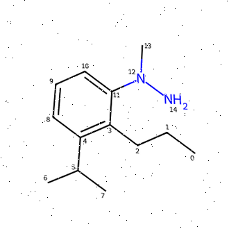 CCCc1c(C(C)C)cccc1N(C)N